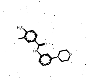 Cc1ccc(C(=O)Nc2cccc(N3CCOCC3)c2)cc1I